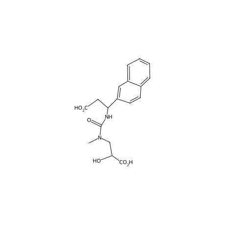 CN(CC(O)C(=O)O)C(=O)NC(CC(=O)O)c1ccc2ccccc2c1